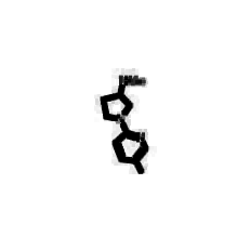 CNC1CCN(c2ccc(C)cn2)C1